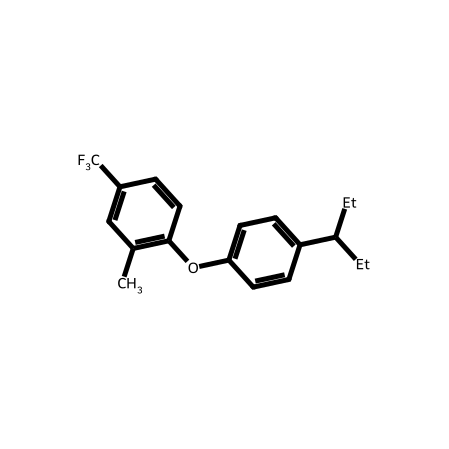 CCC(CC)c1ccc(Oc2ccc(C(F)(F)F)cc2C)cc1